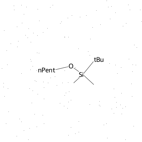 [CH2]CCCCO[Si](C)(C)C(C)(C)C